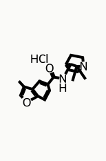 Cc1coc2ccc(C(=O)NC3C4CCN(CC4)C3(C)C)cc12.Cl